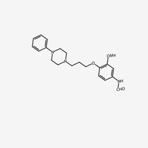 COc1cc(NC=O)ccc1OCCCN1CCN(c2ccccc2)CC1